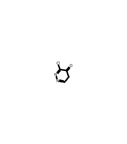 O=C1CC=NN=C1Cl